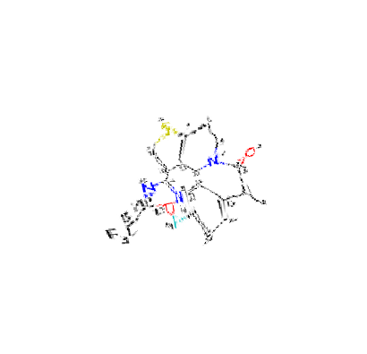 CC(C(=O)N1CCc2scc(-c3noc(C(F)(F)F)n3)c2C1)c1ccc(F)cc1